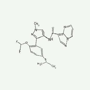 CC(C)Sc1ccc(OC(F)F)c(-c2nn(C)cc2NC(=O)c2cnn3cccnc23)c1